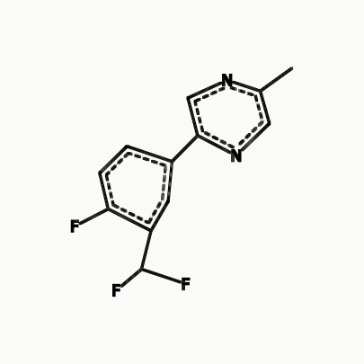 Cc1cnc(-c2ccc(F)c(C(F)F)c2)cn1